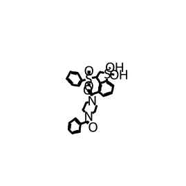 O=C(c1ccccc1)N1CCN(C(=O)c2cccc3c2C(S(=O)(=O)c2ccccc2)CS3(O)O)CC1